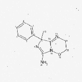 CC1(c2ccccc2)N=C(N)N2OCCN=C21